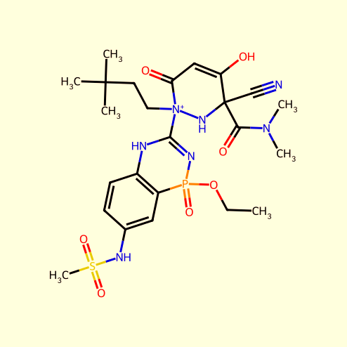 CCOP1(=O)N=C([N+]2(CCC(C)(C)C)NC(C#N)(C(=O)N(C)C)C(O)=CC2=O)Nc2ccc(NS(C)(=O)=O)cc21